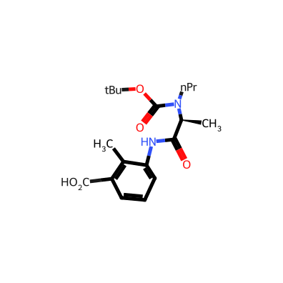 CCCN(C(=O)OC(C)(C)C)[C@@H](C)C(=O)Nc1cccc(C(=O)O)c1C